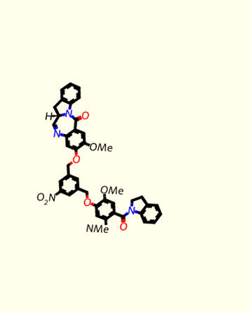 CNc1cc(OCc2cc(COc3cc4c(cc3OC)C(=O)N3c5ccccc5C[C@H]3C=N4)cc([N+](=O)[O-])c2)c(OC)cc1C(=O)N1CCc2ccccc21